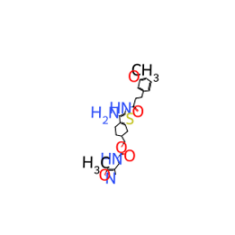 COc1cccc(CCC(=O)Nc2sc3c(c2N)CCC(COC(=O)NCc2cnoc2C)C3)c1